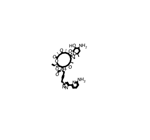 CC[C@H]1OC(=O)[C@H](C)C(=O)[C@H](C)[C@@H](O[C@@H]2O[C@H](C)CC(N)C2O)[C@](C)(OC)C[C@@H](C)C(=O)[C@H](C)[C@H]2N(CC#CCn3cc(-c4cccc(N)n4)nn3)C(=O)O[C@]12C